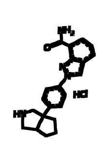 Cl.NC(=O)c1cccc2cn(-c3ccc(C45CCCC4CNC5)cc3)nc12